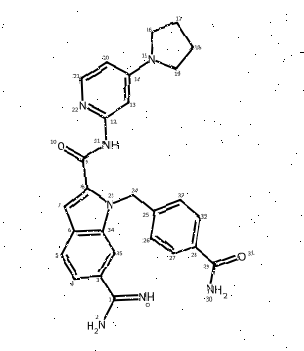 N=C(N)c1ccc2cc(C(=O)Nc3cc(N4CCCC4)ccn3)n(Cc3ccc(C(N)=O)cc3)c2c1